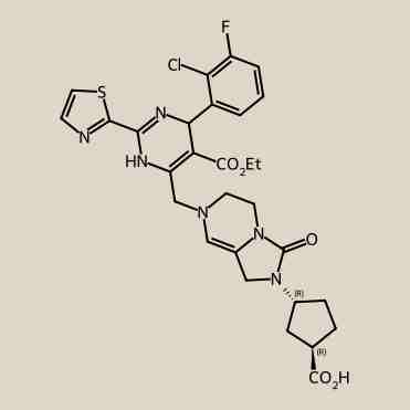 CCOC(=O)C1=C(CN2C=C3CN([C@@H]4CC[C@@H](C(=O)O)C4)C(=O)N3CC2)NC(c2nccs2)=NC1c1cccc(F)c1Cl